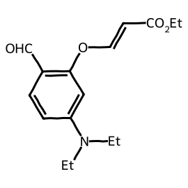 CCOC(=O)C=COc1cc(N(CC)CC)ccc1C=O